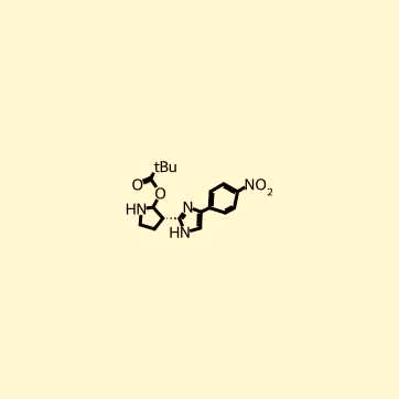 CC(C)(C)C(=O)OC1NCC[C@H]1c1nc(-c2ccc([N+](=O)[O-])cc2)c[nH]1